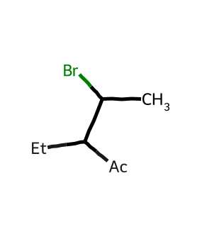 CCC(C(C)=O)C(C)Br